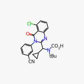 CC(C)(C)N(C(=O)O)C(c1nc2cccc(Cl)c2c(=O)n1-c1cccc(C#N)c1)C1CC1